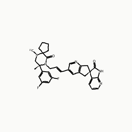 C[C@@]1(c2cc(F)cc(F)c2)CN([11CH3])C2(CCCC2)C(=O)N1C/C=C/c1cnc2c(c1)C[C@@]1(C2)C(=O)Nc2ncccc21